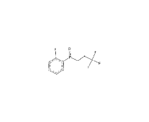 O=[P](CCC(F)(F)F)c1ccccc1F